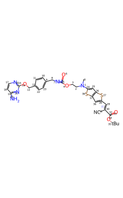 CN(CCOC(=O)NCc1ccc(COc2nccc(N)n2)cc1)c1cc2sc(/C=C(\C#N)C(=O)OC(C)(C)C)cc2s1